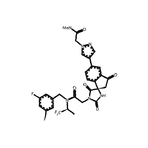 CNC(=O)Cn1cc(-c2ccc3c(c2)C(=O)C[C@]32NC(=O)N(CC(=O)N(Cc3cc(F)cc(F)c3)[C@@H](C)C(F)(F)F)C2=O)cn1